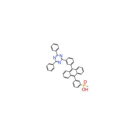 CP(=O)(O)c1cccc(-c2c3ccccc3c(-c3cccc(-c4nc(-c5ccccc5)nc(-c5ccccc5)n4)c3)c3ccccc23)c1